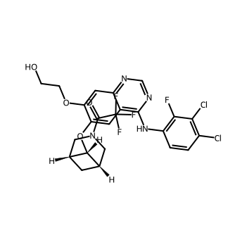 O=C(N1C[C@H]2C[C@@H](C1)[C@H]2Oc1cc2c(Nc3ccc(Cl)c(Cl)c3F)ncnc2cc1OCCO)C(F)(F)F